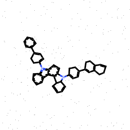 C1=CC2c3c(ccc4c3c3ccccc3n4C3=CC=C(c4ccccc4)CC3)N(C3=CC=C(C4=CC5=C(C=CCC5)CC4)CC3)C2C=C1